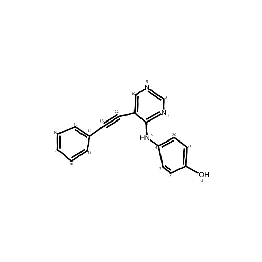 Oc1ccc(Nc2ncncc2C#Cc2ccccc2)cc1